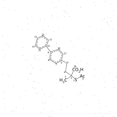 CC(=O)SC(C)(CCc1ccc(-c2ccccc2)cc1)C(=O)O